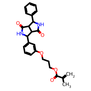 C=C(C)C(=O)OCCCOc1cccc(C2NC(=O)C3C(c4ccccc4)NC(=O)C23)c1